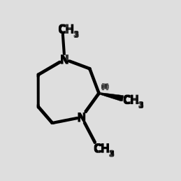 C[C@@H]1CN(C)CCCN1C